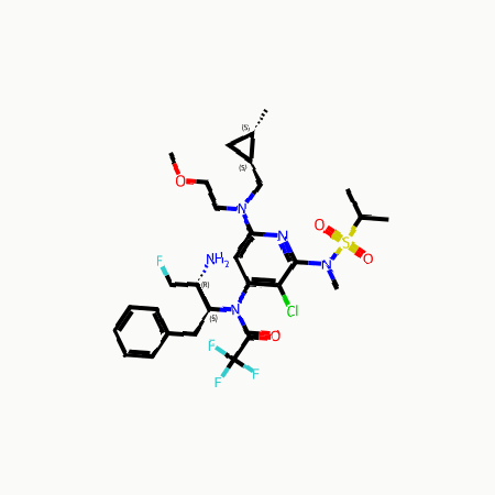 COCCN(C[C@H]1C[C@@H]1C)c1cc(N(C(=O)C(F)(F)F)[C@@H](Cc2ccccc2)[C@@H](N)CF)c(Cl)c(N(C)S(=O)(=O)C(C)C)n1